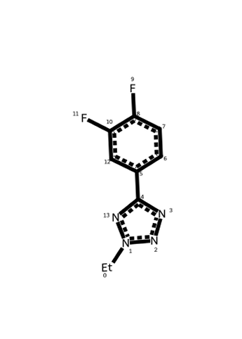 CCn1nnc(-c2ccc(F)c(F)c2)n1